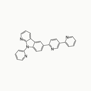 c1ccc(-c2ccc(-c3ccc4c(c3)c3cccnc3n4-c3ccccn3)nc2)nc1